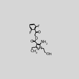 CCc1nn(CCO)c(N)c1C(=O)OCC(=O)c1c(F)cccc1F